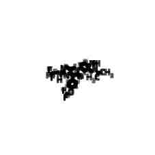 CC(C)N/C=C1/C=C(n2cc3cnc(NCC(F)(F)F)nc3c(-c3ccc(OC(F)F)cc3)c2=O)C=CC1=N